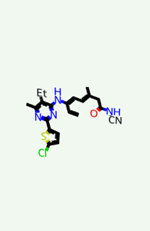 C=C/C(=C\C=C(/C)CC(=O)NC#N)Nc1nc(-c2ccc(Cl)s2)nc(C)c1CC